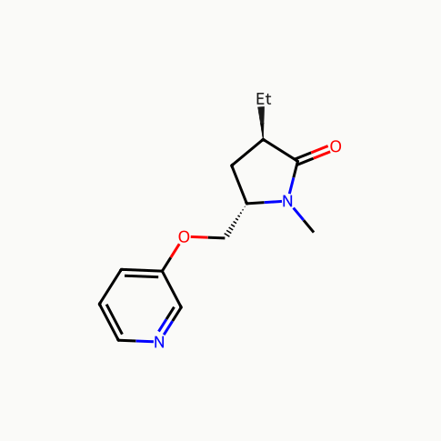 CC[C@@H]1C[C@@H](COc2cccnc2)N(C)C1=O